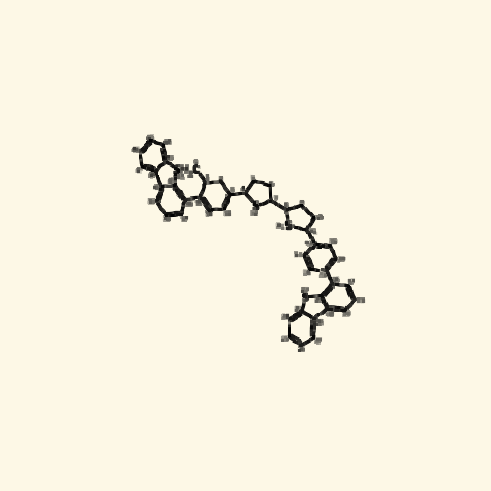 CC1CC(C2CCC(C3CCC(c4ccc(-c5cccc6c5sc5ccccc56)cc4)S3)S2)=CC=C1c1cccc2c1sc1ccccc12